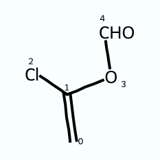 C=C(Cl)OC=O